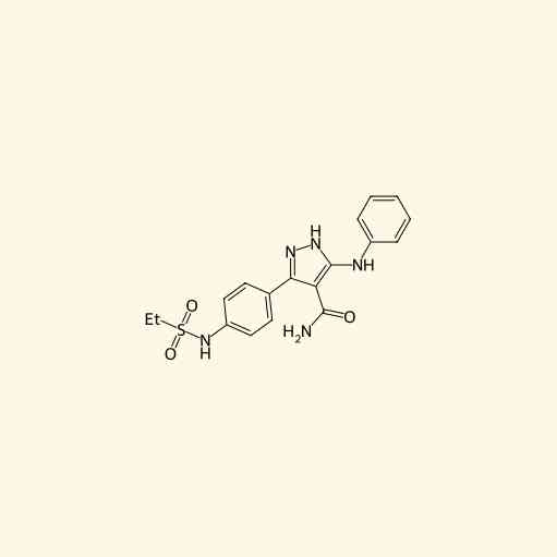 CCS(=O)(=O)Nc1ccc(-c2n[nH]c(Nc3ccccc3)c2C(N)=O)cc1